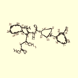 CC(CC(=O)O)c1c(NC(=O)N2CCN(c3cccc(F)c3)CC2)[nH]c2ccccc12